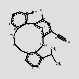 CC(C)c1nccc2c1Nc1nc(c(Cl)cc1C#N)-c1c(F)cccc1OCC2